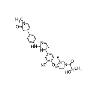 C[C@H](O)C(=O)N1CC[C@H](Oc2ccc(-c3ncnc(Nc4ccc(-c5ccn(C)c(=O)c5)cc4)n3)cc2C#N)[C@@H](F)C1